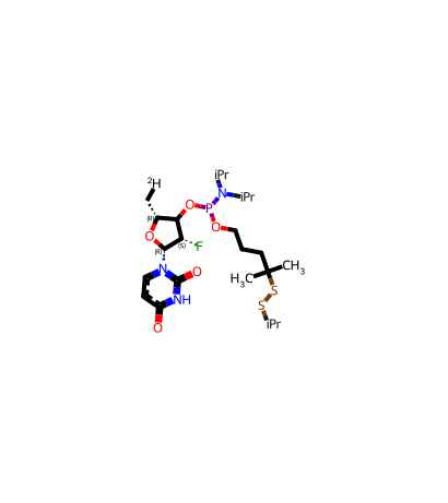 [2H]C[C@H]1O[C@@H](n2ccc(=O)[nH]c2=O)[C@@H](F)C1OP(OCCCC(C)(C)SSC(C)C)N(C(C)C)C(C)C